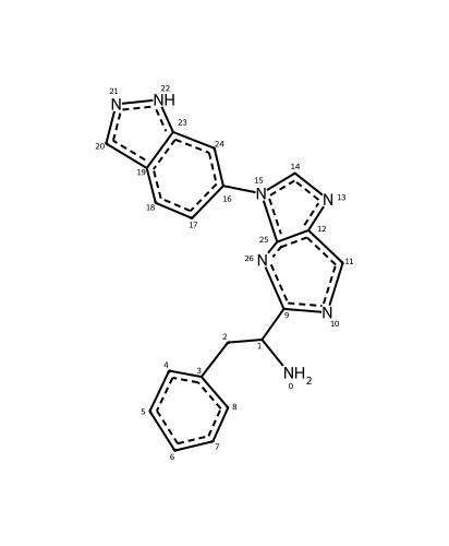 NC(Cc1ccccc1)c1ncc2ncn(-c3ccc4cn[nH]c4c3)c2n1